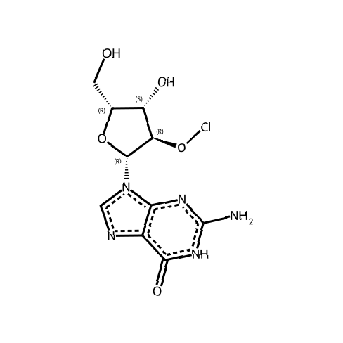 Nc1nc2c(ncn2[C@@H]2O[C@H](CO)[C@H](O)[C@H]2OCl)c(=O)[nH]1